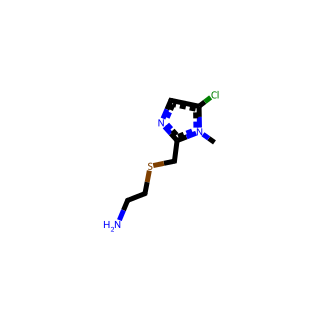 Cn1c(Cl)cnc1CSCCN